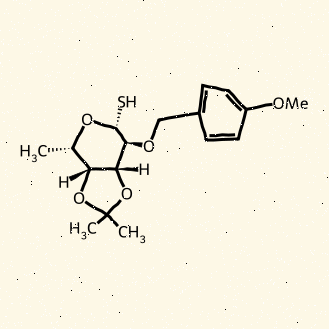 COc1ccc(CO[C@H]2[C@@H]3OC(C)(C)O[C@@H]3[C@H](C)O[C@@H]2S)cc1